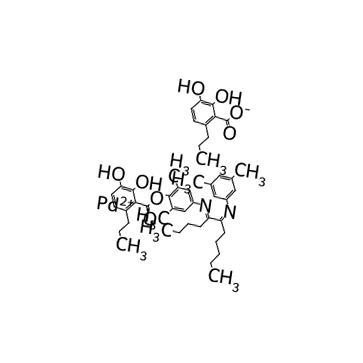 CCCCCC(=Nc1cc(C)cc(C)c1)C(CCCC)=Nc1cc(C)cc(C)c1.CCCc1ccc(O)c(O)c1C(=O)[O-].CCCc1ccc(O)c(O)c1C(=O)[O-].[Pd+2]